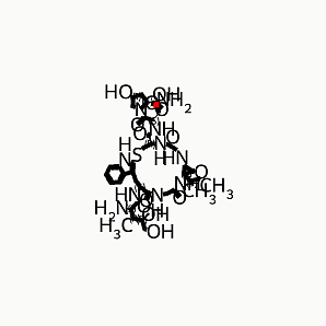 CC[C@H](C)[C@]12NC(=O)CNC(=O)[C@@H](NC(=O)[C@@H](N)[C@@H](C)[C@@H](O)CO)Cc3c([nH]c4ccccc34)SC[C@@H](C(=O)N[C@@H](CC(N)=O)C(=O)N3C[C@H](O)C[C@H]3C(=O)O)NC(=O)CNC1C2=O